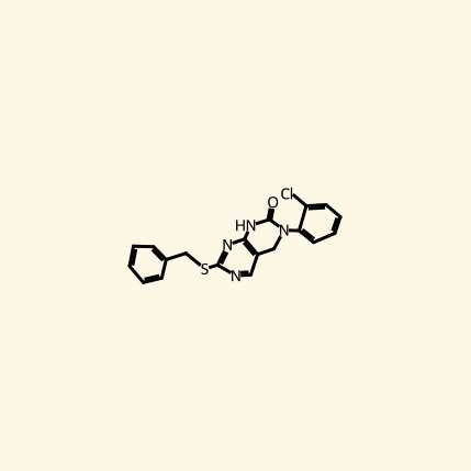 O=C1Nc2nc(SCc3ccccc3)ncc2CN1c1ccccc1Cl